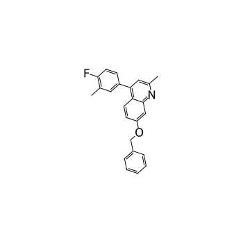 Cc1cc(-c2ccc(F)c(C)c2)c2ccc(OCc3ccccc3)cc2n1